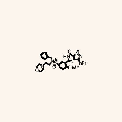 CCCc1nn(C)c2c(=O)[nH]c(-c3cc(S(=O)(=O)N(CCN4CCOCC4)Cc4ccccc4)ccc3OC)nc12